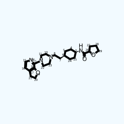 O=C(N[C@H]1CC[C@H](CCN2CCN(c3nccc4c3OCC4)CC2)CC1)C1CCCO1